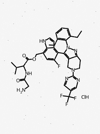 CCc1cccc(CC)c1-n1nc2c(c1-c1c(F)cc(COC(=O)C(NC(=O)CN)C(C)C)c3[nH]ccc13)CN(c1ncc(C(F)(F)F)cn1)CC2.Cl